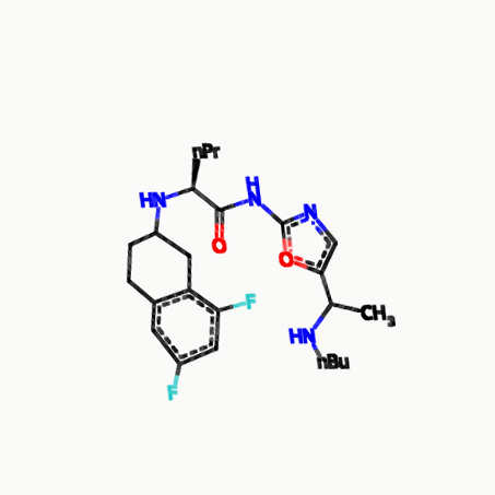 CCCCNC(C)c1cnc(NC(=O)[C@H](CCC)NC2CCc3cc(F)cc(F)c3C2)o1